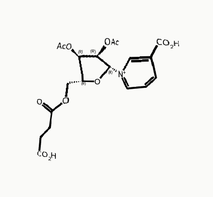 CC(=O)O[C@@H]1[C@H](OC(C)=O)[C@@H](COC(=O)CCC(=O)O)O[C@H]1[n+]1cccc(C(=O)O)c1